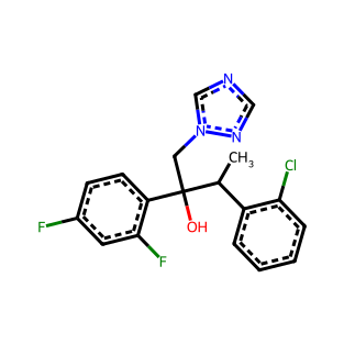 CC(c1ccccc1Cl)C(O)(Cn1cncn1)c1ccc(F)cc1F